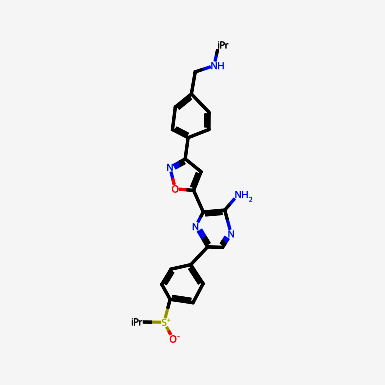 CC(C)NCc1ccc(-c2cc(-c3nc(-c4ccc([S+]([O-])C(C)C)cc4)cnc3N)on2)cc1